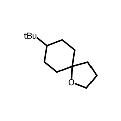 CC(C)(C)C1CCC2(CCCO2)CC1